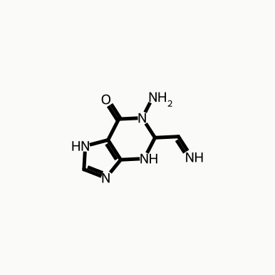 N=CC1Nc2nc[nH]c2C(=O)N1N